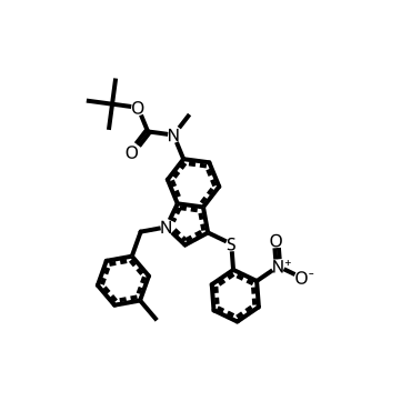 Cc1cccc(Cn2cc(Sc3ccccc3[N+](=O)[O-])c3ccc(N(C)C(=O)OC(C)(C)C)cc32)c1